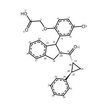 O=C(O)COc1ccc(Cl)cc1C1c2ccccc2CN1C(=O)[C@@H]1C[C@H]1c1ccccc1